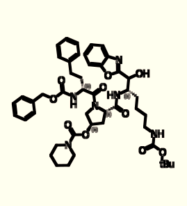 CC(C)(C)OC(=O)NCCCC[C@H](NC(=O)[C@@H]1C[C@@H](OC(=O)N2CCCCC2)CN1C(=O)[C@@H](CCc1ccccc1)NC(=O)OCc1ccccc1)C(O)c1nc2ccccc2o1